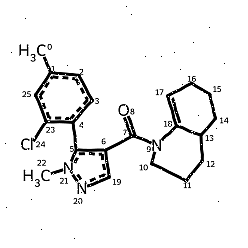 Cc1ccc(-c2c(C(=O)N3CCCC4CCCC=C43)cnn2C)c(Cl)c1